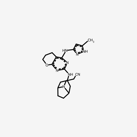 Cc1cc(Nc2nc(NC3CC4CCC(C3)N4CCC#N)nc3c2CCCO3)n[nH]1